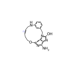 Nc1nc2cc3c1nc(O)n3Cc1cccc(c1)NC/C=C\CCO2